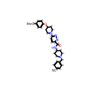 COc1ccc(OC2CCN(c3ccc(C(=O)NC4CCN(Cc5ccc(C#N)cc5)CC4)nn3)CC2)cc1